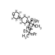 CCCC(C)(CC)COP(=O)(N1CCC(N2CCOCC2)CC1)C(C)(C)CCC